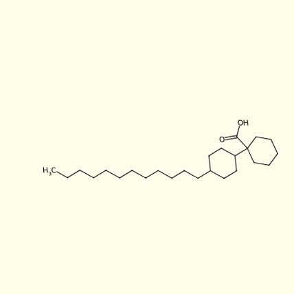 CCCCCCCCCCCCC1CCC(C2(C(=O)O)CCCCC2)CC1